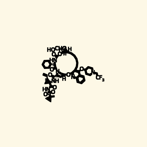 C=C[C@@H]1C[C@]1(NC(=O)[C@@H]1C[C@@H]2CN1C(=O)[C@H](C1CCCCC1)NC(=O)O[C@@H]1C[C@H]1CCCCCc1c(nc3ccccc3c1OC1CCN(CC(F)(F)F)CC1)O2)C(=O)NS(=O)(=O)C1(C)CC1.O=CO